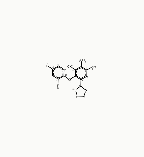 Cc1c(N)cc(C2SCCS2)c(Oc2ccc(F)cc2F)c1Cl